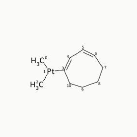 [CH3][Pt]([CH3])[C]1=CC=CCCCC1